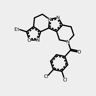 CCc1onc2c1CCn1nc3c(c1-2)CN(C(=O)c1ccc(Cl)c(Cl)c1)CC3